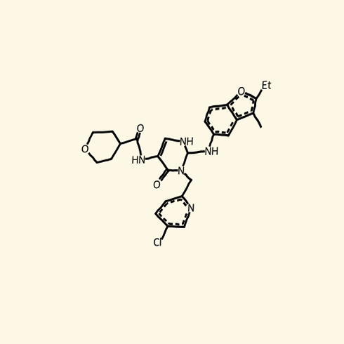 CCc1oc2ccc(NC3NC=C(NC(=O)C4CCOCC4)C(=O)N3Cc3ccc(Cl)cn3)cc2c1C